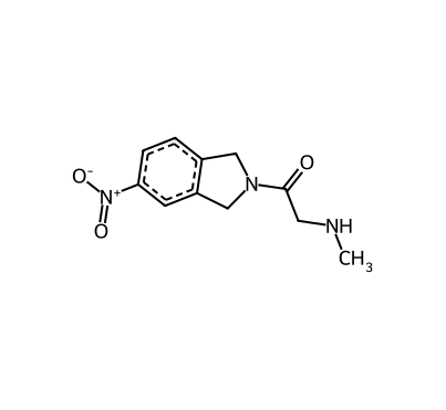 CNCC(=O)N1Cc2ccc([N+](=O)[O-])cc2C1